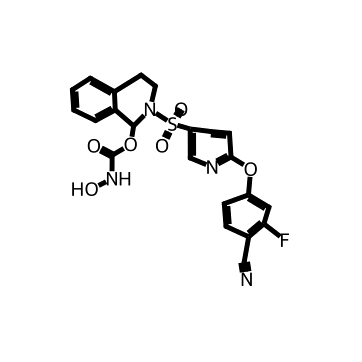 N#Cc1ccc(Oc2ccc(S(=O)(=O)N3CCc4ccccc4C3OC(=O)NO)cn2)cc1F